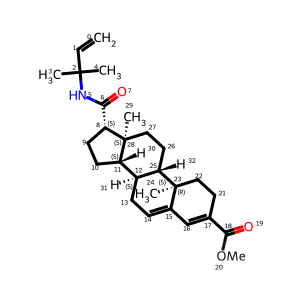 C=CC(C)(C)NC(=O)[C@H]1CC[C@H]2[C@@H]3CC=C4C=C(C(=O)OC)CC[C@]4(C)[C@H]3CC[C@]12C